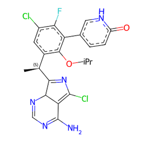 CC(C)Oc1c([C@H](C)C2=NC(Cl)=C3C(N)=NC=NC23)cc(Cl)c(F)c1-c1ccc(=O)[nH]c1